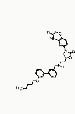 NCCCCOc1cccc(-c2cccc(CNCCC3CN(c4ccc5c(n4)NC(=O)CO5)C(=O)O3)c2)c1